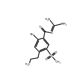 CCCc1cc(Br)c(C(=O)N=C(N)N)cc1S(C)(=O)=O